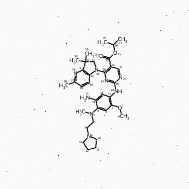 COc1cc(N(C)CCN2CCCC2)c(N)cc1Nc1ncc(C(=O)OC(C)C)c(N2CC(C)(C)c3nc(C)ccc32)n1